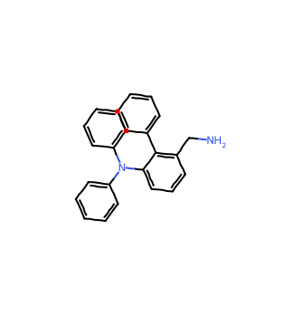 NCc1cccc(N(c2ccccc2)c2ccccc2)c1-c1ccccc1